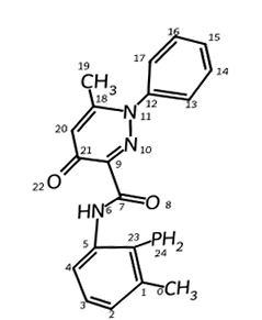 Cc1cccc(NC(=O)c2nn(-c3ccccc3)c(C)cc2=O)c1P